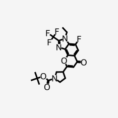 CCn1c(C(F)(F)F)nc2c3oc(C4CCN(C(=O)OC(C)(C)C)C4)cc(=O)c3cc(F)c21